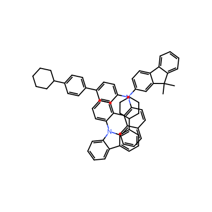 CC1(C)c2ccccc2-c2ccc(N(c3ccc(-c4ccc(C5CCCCC5)cc4)cc3)c3ccc4ccccc4c3-c3ccccc3-n3c4ccccc4c4cccc(C5CCCCC5)c43)cc21